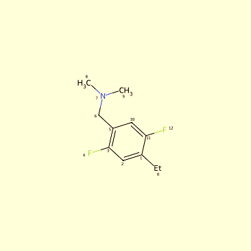 CCc1cc(F)c(CN(C)C)cc1F